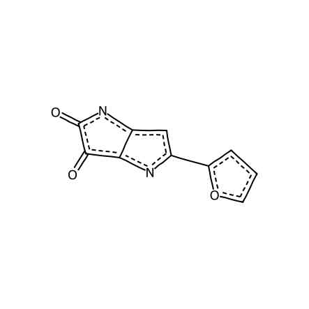 O=c1nc2cc(-c3ccco3)nc-2c1=O